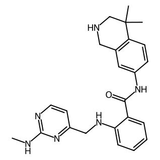 CNc1nccc(CNc2ccccc2C(=O)Nc2ccc3c(c2)CNCC3(C)C)n1